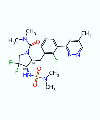 Cc1cnnc(-c2cccc(C[C@H]3[C@@H](NS(=O)(=O)N(C)C)C(F)(F)CN3C(=O)N(C)C)c2F)c1